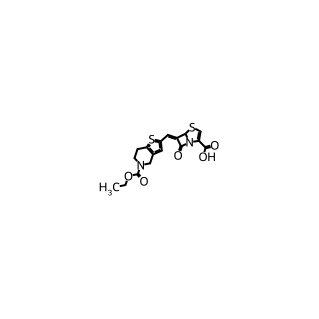 CCOC(=O)N1CCc2sc(/C=C3\C(=O)N4C(C(=O)O)=CSC34)cc2C1